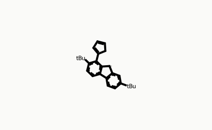 CC(C)(C)c1ccc2c(c1)[CH]c1c-2ccc(C(C)(C)C)c1C1=CC=CC1